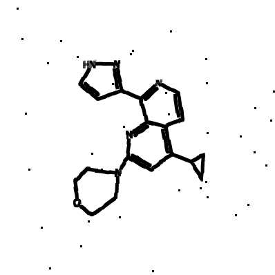 c1cc2c(C3CC3)cc(N3CCOCC3)nc2c(-c2cc[nH]n2)n1